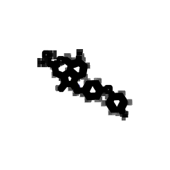 CC1=C(CC(=O)NO)c2c(ccc(F)c2C)/C1=C\c1ccc(Oc2ccc(F)cc2)cc1